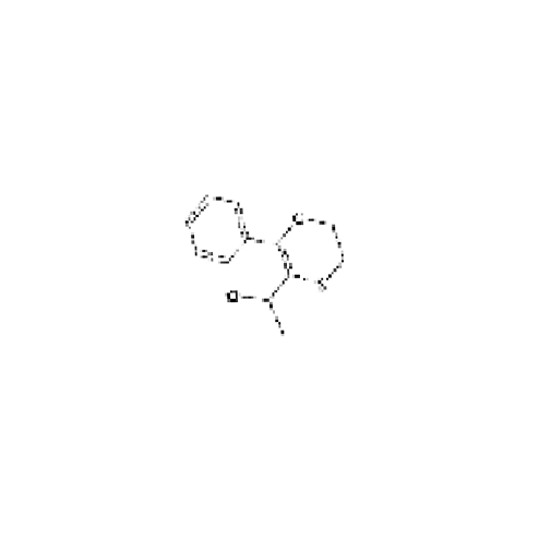 CC(Cl)C1=C(c2ccccc2)OCCS1